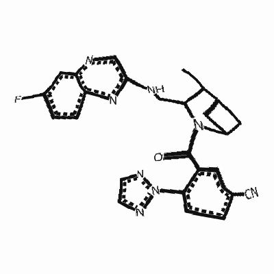 CC1C2CC(C2)N(C(=O)c2cc(C#N)ccc2-n2nccn2)C1CNc1cnc2cc(F)ccc2n1